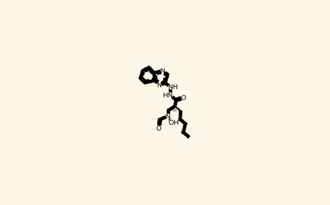 CCCCC[C@@H](CN(O)C=O)C(=O)NNc1cnc2ccccc2n1